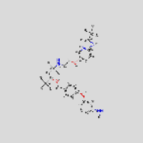 CNc1cccc(Oc2ccc(COC(CC(C)(C)NCCOc3ccc4nc(C(C)(C)C)cn4c3)C(C)(C)C)cc2)c1